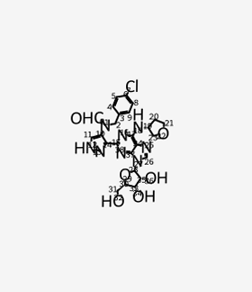 O=CN(Cc1ccc(Cl)cc1)c1c[nH]nc1-c1nc(N[C@@H]2CCOC2)c2ncn([C@@H]3O[C@H](CO)[C@@H](O)[C@H]3O)c2n1